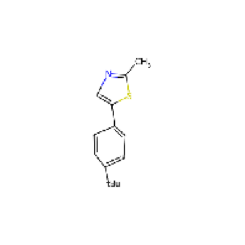 Cc1ncc(-c2ccc(C(C)(C)C)cc2)s1